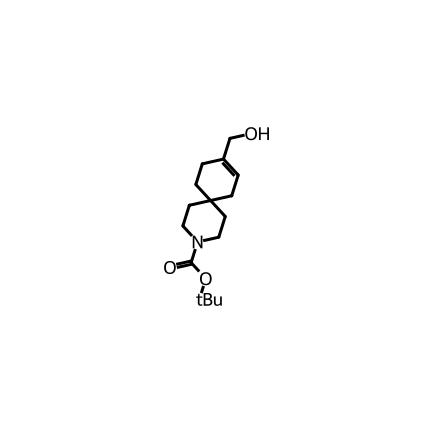 CC(C)(C)OC(=O)N1CCC2(CC=C(CO)CC2)CC1